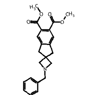 COC(=O)c1cc2c(cc1C(=O)OC)CC1(C2)CN(Cc2ccccc2)C1